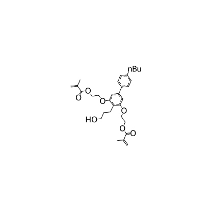 C=C(C)C(=O)OCCOc1cc(-c2ccc(CCCC)cc2)cc(OCCOC(=O)C(=C)C)c1CCCO